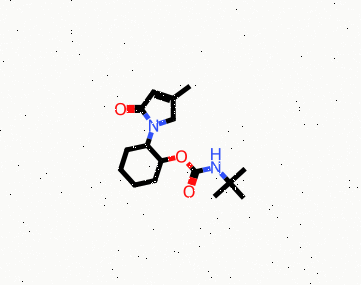 CC1=CC(=O)N(C2CCCCC2OC(=O)NC(C)(C)C)C1